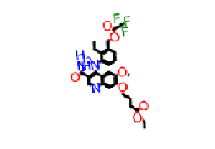 CCOC(=O)CCCOc1cc2ncc(C(N)=O)c(Nc3cccc(COC(=O)C(F)(F)F)c3CC)c2cc1OC